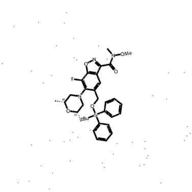 CON(C)C(=O)c1noc2c(F)c(N3C[C@@H](C)O[C@@H](C)C3)c(CO[Si](c3ccccc3)(c3ccccc3)C(C)(C)C)cc12